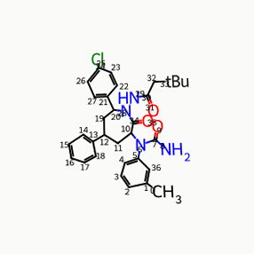 Cc1cccc(N(C(N)=O)C2CC(c3ccccc3)CC(c3ccc(Cl)cc3)N(NC(=O)CC(C)(C)C)C2=O)c1